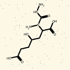 NNC(=O)N(N)C(CC(O)CCC(=O)O)C(=O)O